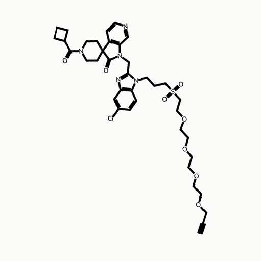 C#CCOCCOCCOCCOCCS(=O)(=O)CCCn1c(CN2C(=O)C3(CCN(C(=O)C4CCC4)CC3)c3ccncc32)nc2cc(Cl)ccc21